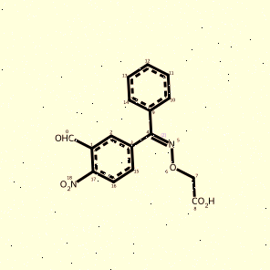 O=Cc1cc(/C(=N\OCC(=O)O)c2ccccc2)ccc1[N+](=O)[O-]